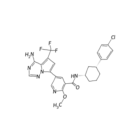 COc1ncc(-c2cc(C(F)(F)F)c3c(N)ncnn23)cc1C(=O)N[C@H]1CCC[C@@H](c2ccc(Cl)cc2)C1